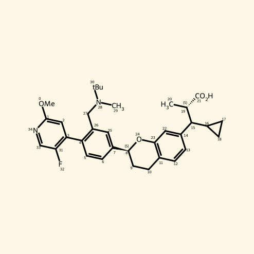 COc1cc(-c2ccc([C@@H]3CCc4ccc(C(C5CC5)[C@H](C)C(=O)O)cc4O3)cc2CN(C)C(C)(C)C)c(F)cn1